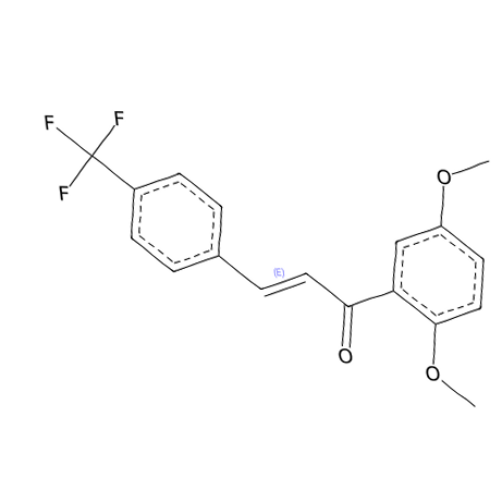 COc1ccc(OC)c(C(=O)/C=C/c2ccc(C(F)(F)F)cc2)c1